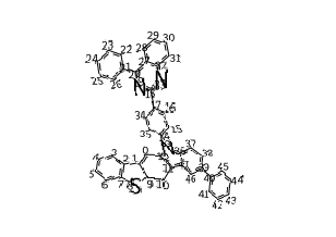 C1=C2c3ccccc3SC2Cc2c1n(-c1ccc(-c3nc(-c4ccccc4)c4ccccc4n3)cc1)c1ccc(-c3ccccc3)cc21